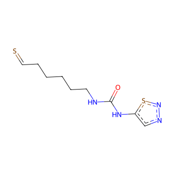 O=C(NCCCCCC=S)Nc1cnns1